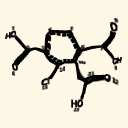 O=C(O)c1ccc(C(=O)O)c(C(=O)O)c1Cl